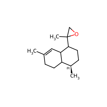 CC1=CC2C(CC1)[C@H](C)CCC2C1(C)CO1